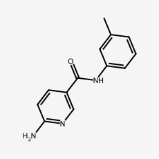 Cc1cccc(NC(=O)c2ccc(N)nc2)c1